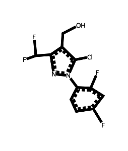 OCc1c(C(F)F)nn(-c2ccc(F)cc2F)c1Cl